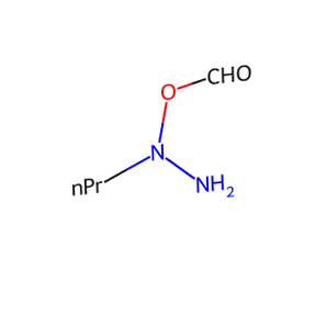 CCCN(N)OC=O